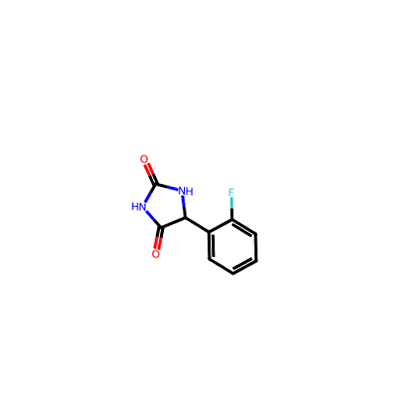 O=C1NC(=O)C(c2ccccc2F)N1